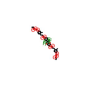 C=CC(=O)OCOc1ccc(CCC(=O)Oc2ccc(C(c3ccc(OC(=O)CCc4ccc(OCOC(=O)C=C)cc4C)cc3)(C(F)(F)F)C(F)(F)F)cc2)c(C)c1